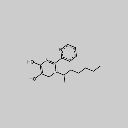 CCCCCC(C)N1CC(O)=C(O)N=C1c1ccccn1